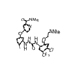 CNCCOc1cc(Cl)c(C(F)(F)F)cc1NC(=O)NNc1cc(Oc2ccnc(C(=O)NC)c2)ccc1C